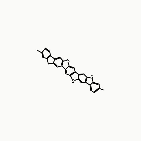 Cc1ccc2c(c1)Cc1cc3c(cc1-2)sc1cc2c(cc13)sc1cc3c(cc12)sc1cc(C)ccc13